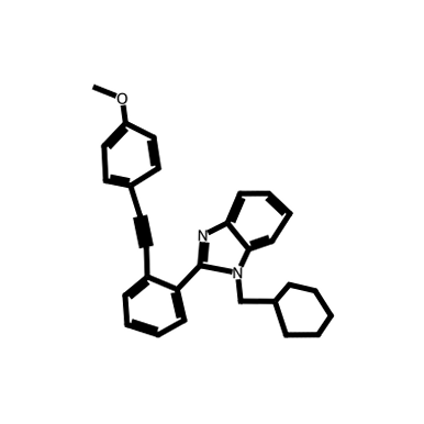 COc1ccc(C#Cc2ccccc2-c2nc3ccccc3n2CC2CCCCC2)cc1